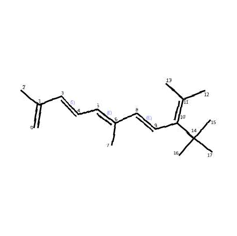 C=C(C)/C=C/C=C(C)/C=C/C(=C(C)C)C(C)(C)C